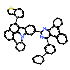 c1ccc(-c2cccc(-c3nc(-c4ccc5c6c(-c7cccc8sccc78)cc7cccc8c9ccccc9n(c5c4)c6c78)nc4c5ccccc5c5ccccc5c34)c2)cc1